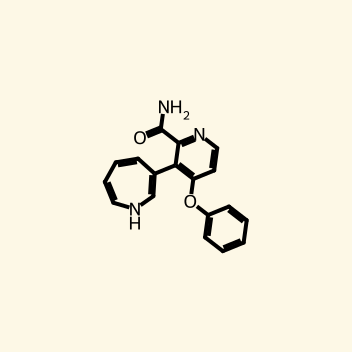 NC(=O)c1nccc(Oc2ccccc2)c1C1=CNC=CC=C1